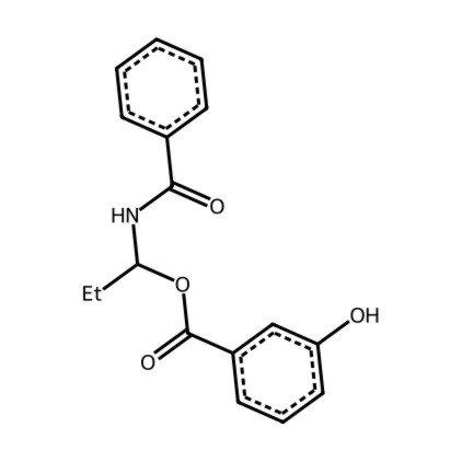 CCC(NC(=O)c1ccccc1)OC(=O)c1cccc(O)c1